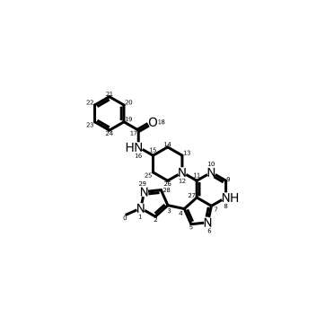 Cn1cc(-c2cnc3[nH]cnc(N4CCC(NC(=O)c5ccccc5)CC4)c2-3)cn1